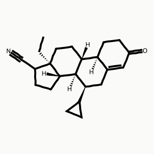 CC[C@]12CC[C@H]3[C@@H]([C@H](C4CC4)CC4=CC(=O)CC[C@@H]43)[C@@H]1CCC2C#N